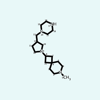 CN1CCC2(CC1)CC(N1CCC(CN3CCNCC3)C1)C2